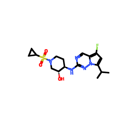 CC(C)c1cc(F)c2cnc(N[C@@H]3CCN(S(=O)(=O)C4CC4)C[C@H]3O)nn12